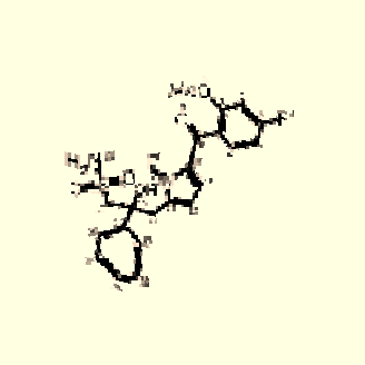 COc1cc(F)ccc1C(=O)c1ccc(CC(O)(CS(N)(=O)=O)c2ccccc2)n1C